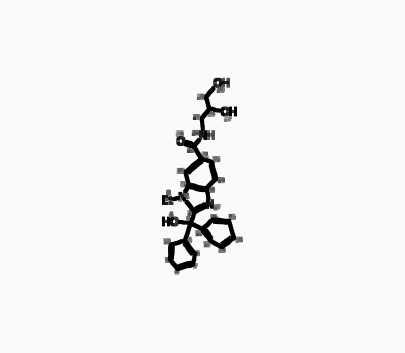 CCn1c(C(O)(c2ccccc2)c2ccccc2)nc2ccc(C(=O)NCC(O)CO)cc21